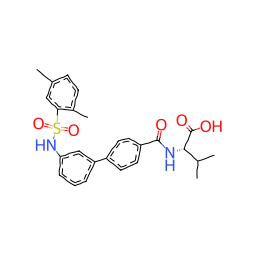 Cc1ccc(C)c(S(=O)(=O)Nc2cccc(-c3ccc(C(=O)N[C@H](C(=O)O)C(C)C)cc3)c2)c1